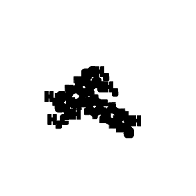 CNC(=O)N1N=C(c2ccc(N3CCC4(CC3)CNC(=O)C4)cc2)c2cc(OC)c(OC)cc2CC1C